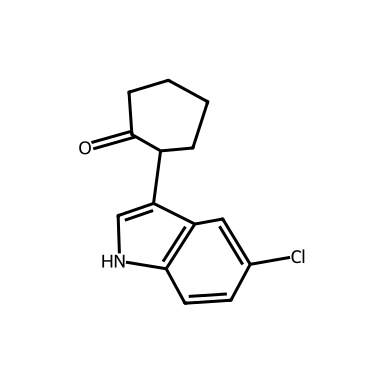 O=C1CCCCC1c1c[nH]c2ccc(Cl)cc12